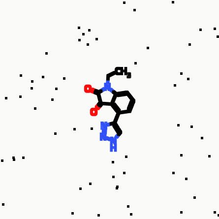 CCN1C(=O)C(=O)c2c(-c3c[nH]nn3)cccc21